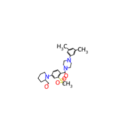 Cc1cc(C)cc(N2CCN(C(=O)c3ccc(N4CCCCC4C=O)cc3S(C)(=O)=O)CC2)c1